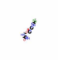 Cc1c(N[C@@H](C)CO[C@@H]2CCCN(C3CCN(c4ncc(C(F)(F)F)cn4)CC3)C2=O)cn[nH]c1=O